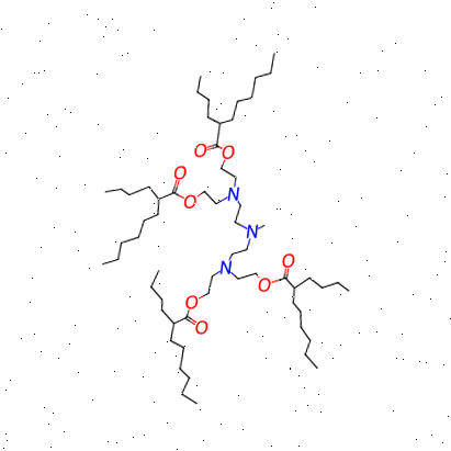 CCCCCCC(CCCC)C(=O)OCCN(CCOC(=O)C(CCCC)CCCCCC)CCN(C)CCN(CCOC(=O)C(CCCC)CCCCCC)CCOC(=O)C(CCCC)CCCCCC